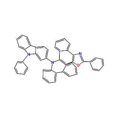 c1ccc(-c2nc3c(cc(N(c4ccc5c6ccccc6n(-c6ccccc6)c5c4)c4ccccc4-c4ccccc4)c4ccccc43)o2)cc1